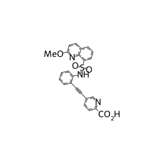 COc1ccc2cccc(S(=O)(=O)Nc3ccccc3C#Cc3ccc(C(=O)O)nc3)c2n1